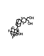 O=C(OC12CC3CC(C1)C1(SCC(CO)(CO)CS1)C(C3)C2)C(C(F)(F)F)(C(F)(F)F)S(=O)(=O)O